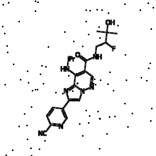 CC(C)Nc1c(C(=O)NCC(F)C(C)(C)O)cnn2cc(-c3ccc(C#N)nc3)nc12